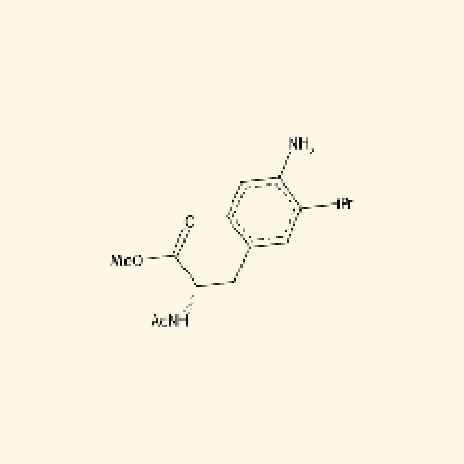 COC(=O)[C@H](Cc1ccc(N)c(C(C)C)c1)NC(C)=O